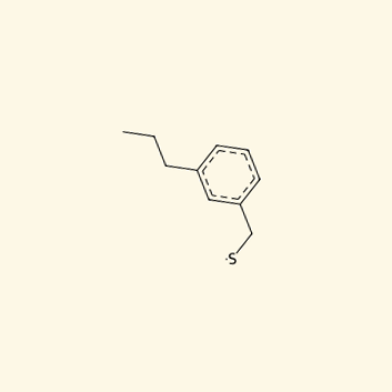 CCCc1cccc(C[S])c1